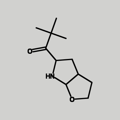 CC(C)(C)C(=O)C1CC2CCOC2N1